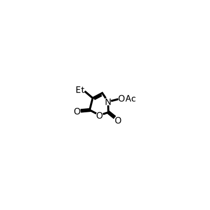 CCc1cn(OC(C)=O)c(=O)oc1=O